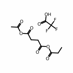 CCC(=O)OC(=O)CCC(=O)OC(C)=O.O=C(O)C(F)(F)F